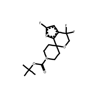 CC(C)(C)OC(=O)N1CCC2(CC1)OCC(F)(F)c1cc(F)sc12